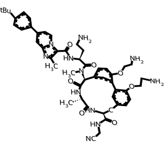 Cc1nc2cc(-c3ccc(C(C)(C)C)cc3)ccn2c1C(=O)N[C@@H](CCN)C(=O)N(C)[C@@H]1C(=O)N[C@@H](C)C(=O)N[C@H](C(=O)NCC#N)Cc2ccc(OCCN)c(c2)-c2cc1ccc2OCCN